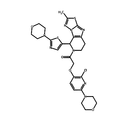 Cc1nn2c3c(nc2s1)CCN(C(=O)COc1ccc(N2CCOCC2)nc1Cl)C3c1cnc(N2CCOCC2)s1